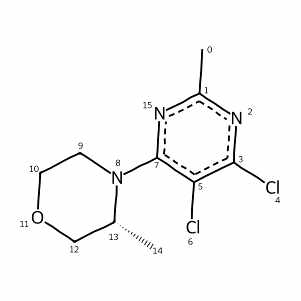 Cc1nc(Cl)c(Cl)c(N2CCOC[C@H]2C)n1